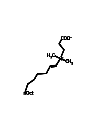 CCCCCCCCCCCCC=C[N+](C)(C)CCC(=O)[O-]